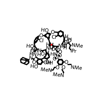 CNCCOc1cc(S(=O)(=O)NC(=O)C[C@@H]2NC(=O)[C@H](NC(=O)[C@@H](CC(C)C)NC)[C@H](O)c3ccc(c(Cl)c3)Oc3cc4cc(c3O)Oc3ccc(cc3Cl)[C@@H](O)[C@@H]3NC(=O)[C@H](NC(=O)[C@@H]4NC2=O)c2ccc(O)c(c2)-c2c(O)cc(O)cc2[C@@H](C(=O)NC2C4CC5CC(C4)CC2C5)NC3=O)cc(OCCNC)c1OCCNC